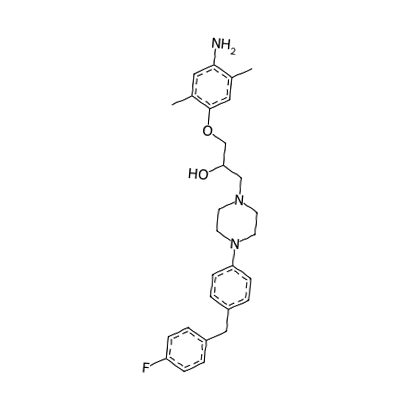 Cc1cc(OCC(O)CN2CCN(c3ccc(Cc4ccc(F)cc4)cc3)CC2)c(C)cc1N